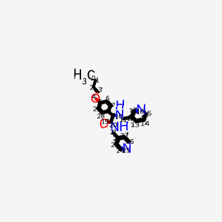 CCCCOc1ccc(C(NCc2cccnc2)C(=O)NCc2ccncc2)cc1